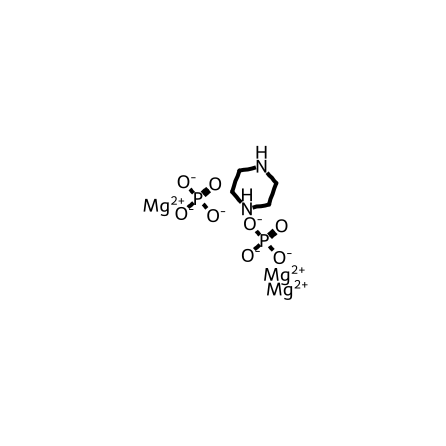 C1CNCCN1.O=P([O-])([O-])[O-].O=P([O-])([O-])[O-].[Mg+2].[Mg+2].[Mg+2]